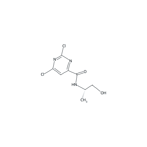 C[C@@H](CO)NC(=O)c1cc(Cl)nc(Cl)n1